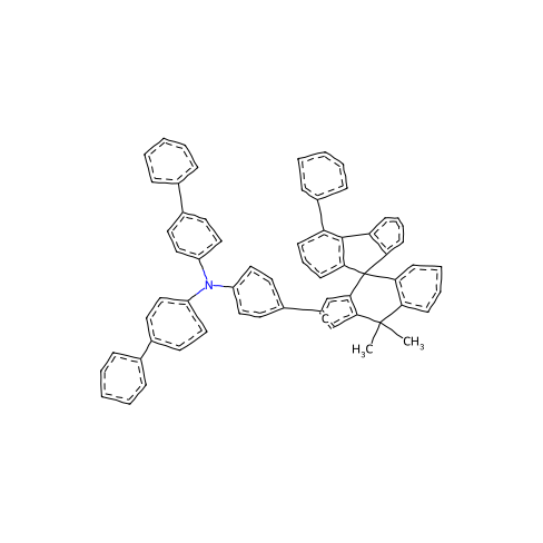 CC1(C)c2ccccc2C2(c3ccccc3-c3c(-c4ccccc4)cccc32)c2cc(-c3ccc(N(c4ccc(-c5ccccc5)cc4)c4ccc(-c5ccccc5)cc4)cc3)ccc21